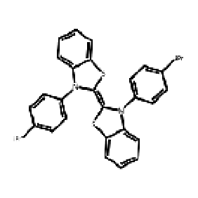 CC(C)c1ccc(N2/C(=C3\Sc4ccccc4N3c3ccc(C(C)C)cc3)Sc3ccccc32)cc1